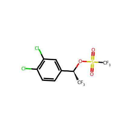 O=S(=O)(O[C@H](c1ccc(Cl)c(Cl)c1)C(F)(F)F)C(F)(F)F